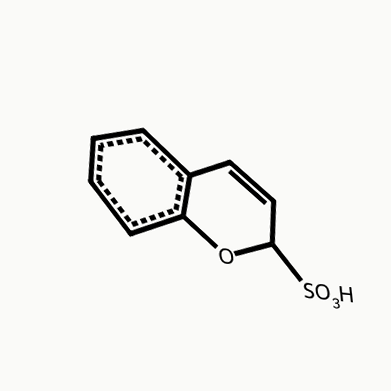 O=S(=O)(O)C1C=Cc2ccccc2O1